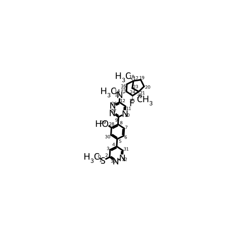 CSc1cc(-c2ccc(-c3ncc(N(C)[C@@H]4C[C@@]5(C)CC[C@](C)(C5)[C@@H]4F)nn3)c(O)c2)cnn1